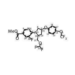 COC(=O)c1cnc(N2C[C@@H](Oc3ccc(OC(F)(F)F)cc3)C[C@H]2COC(F)F)c(F)c1